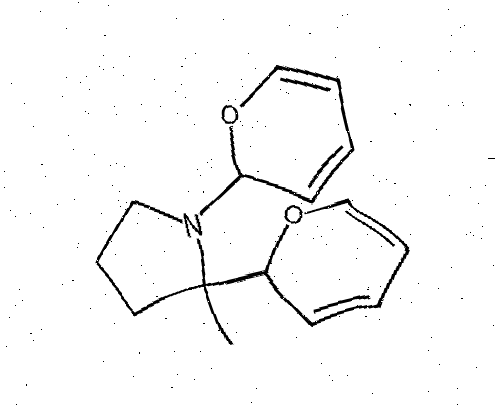 CC1(C2C=CC=CO2)CCCN1C1C=CC=CO1